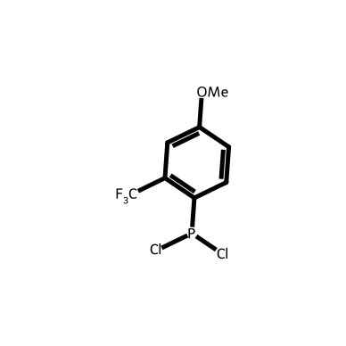 COc1ccc(P(Cl)Cl)c(C(F)(F)F)c1